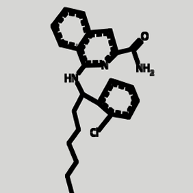 CCCCCCC(Nc1nc(C(N)=O)cc2ccccc12)c1ccccc1Cl